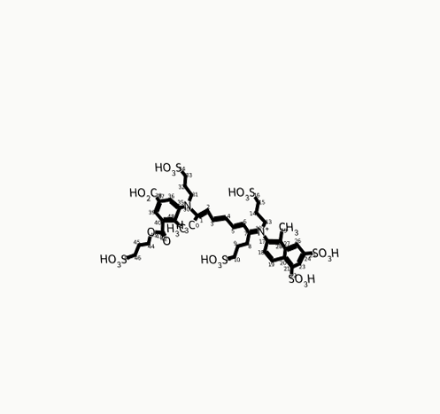 C\C(=C/C=C/C=C/C(CCCS(=O)(=O)O)=[N+](\CCCS(=O)(=O)O)c1ccc2c(S(=O)(=O)O)cc(S(=O)(=O)O)cc2c1C)N(CCCS(=O)(=O)O)c1cc(C(=O)O)cc(C(=O)OCCCS(=O)(=O)O)c1C